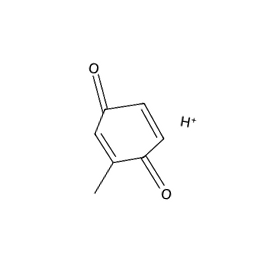 CC1=CC(=O)C=CC1=O.[H+]